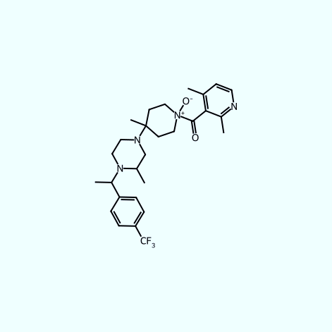 Cc1ccnc(C)c1C(=O)[N+]1([O-])CCC(C)(N2CCN(C(C)c3ccc(C(F)(F)F)cc3)C(C)C2)CC1